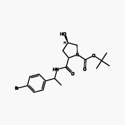 CC(NC(=O)C1C[C@@H](O)CN1C(=O)OC(C)(C)C)c1ccc(Br)cc1